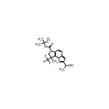 CC(O)c1cc2ncc3c(n2n1)C(C)(C(F)(F)F)CN3C(=O)OC(C)(C)C